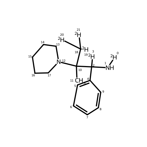 [2H]NC([2H])(c1ccccc1)C(C)(N1CCCCC1)C([2H])([2H])[2H]